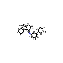 CC1(C)c2ccccc2-c2c(Nc3cccc(-c4ccccc4)c3)cccc21